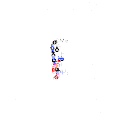 COc1ccc(CN2CCN(C3CC4(CCN(c5ccc(C(=O)NS(=O)(=O)c6cc([N+](=O)[O-])c(NC[C@H]7COCCO7)c7c6OCCO7)c(Oc6cnc7[nH]ccc7c6)c5)CC4)C3)[C@H](c3ccccc3C(C)C)C2)cc1